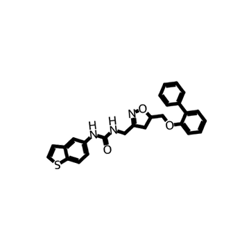 O=C(NCC1=NOC(COc2ccccc2-c2ccccc2)C1)Nc1ccc2sccc2c1